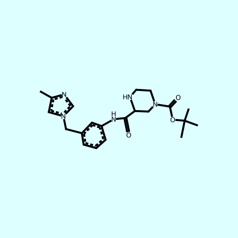 Cc1cn(Cc2cccc(NC(=O)C3CN(C(=O)OC(C)(C)C)CCN3)c2)cn1